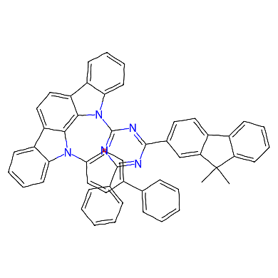 CC1(C)c2ccccc2-c2ccc(-c3nc(-c4ccccc4)nc(-n4c5ccccc5c5ccc6c7ccccc7n(-c7ccc(-c8ccccc8)cc7)c6c54)n3)cc21